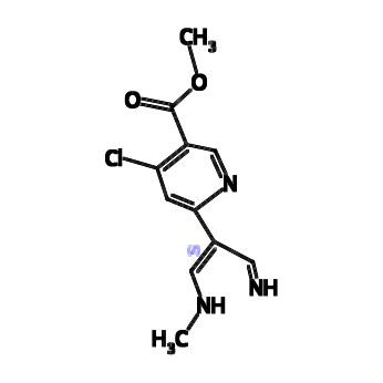 CN/C=C(\C=N)c1cc(Cl)c(C(=O)OC)cn1